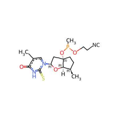 [C-]#[N+]CCOP(C)O[C@]12CC[C@@H](C)[C@H]1O[C@@H](n1cc(C)c(=O)[nH]c1=S)C2